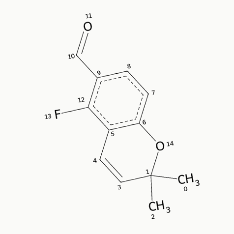 CC1(C)C=Cc2c(ccc(C=O)c2F)O1